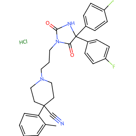 Cc1ccccc1C1(C#N)CCN(CCCN2C(=O)NC(c3ccc(F)cc3)(c3ccc(F)cc3)C2=O)CC1.Cl